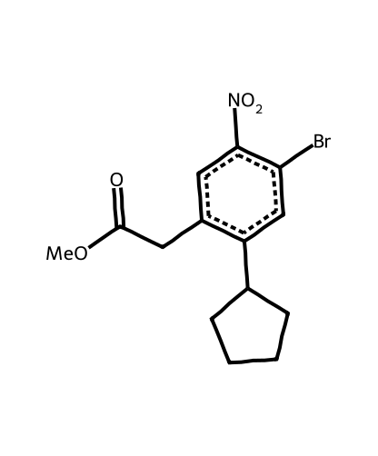 COC(=O)Cc1cc([N+](=O)[O-])c(Br)cc1C1CCCC1